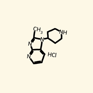 Cc1nc2ncccc2n1C1CCNCC1.Cl